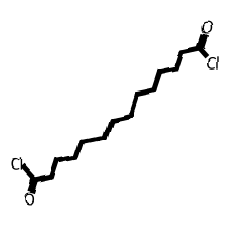 O=C(Cl)CCCCCCCCCCCCC(=O)Cl